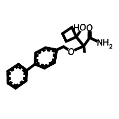 CC(OCc1ccc(-c2ccccc2)cc1)(C(N)=O)C1(O)CCC1